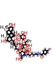 CC(C)C(O[C@H]1OCC(O)C(O)C1O)C(O)C(O)C(O)OC1C(OC(=O)CCCC(C)(C)CC2CC(O)CC3(C)C2=CCC2C4(C)CCC(O)C(C)C4CCC23C)OC(CO)C(NC(=O)CCCCCNC(=O)c2ccc(I)cc2)C1O